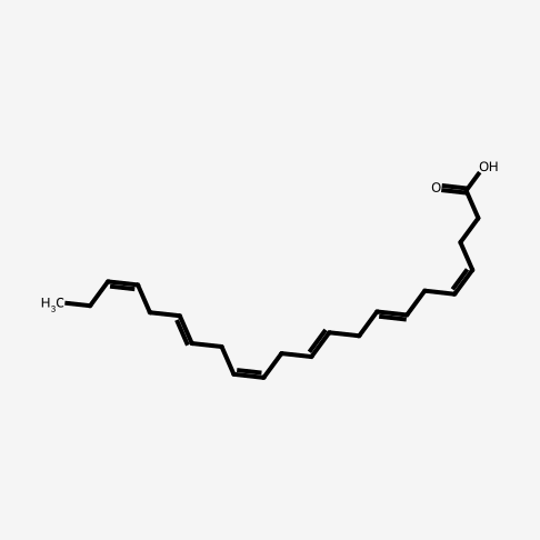 CC/C=C\C/C=C/C/C=C\C/C=C/C/C=C/C/C=C\CCC(=O)O